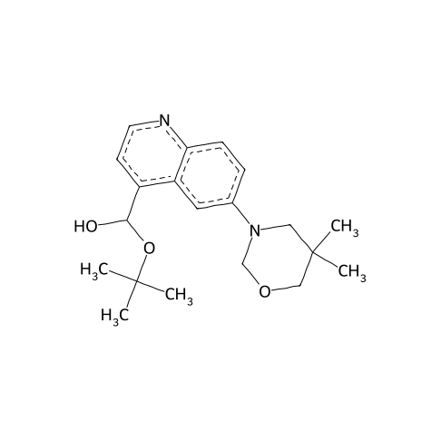 CC1(C)COCN(c2ccc3nccc(C(O)OC(C)(C)C)c3c2)C1